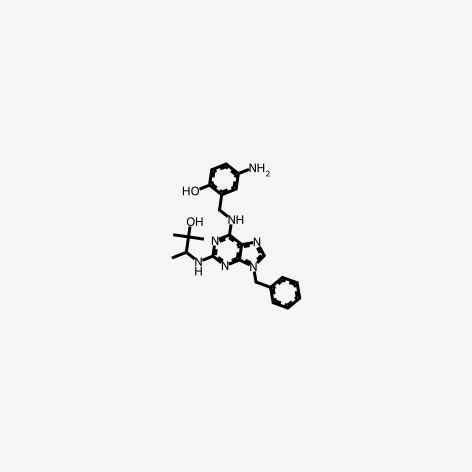 CC(Nc1nc(NCc2cc(N)ccc2O)c2ncn(Cc3ccccc3)c2n1)C(C)(C)O